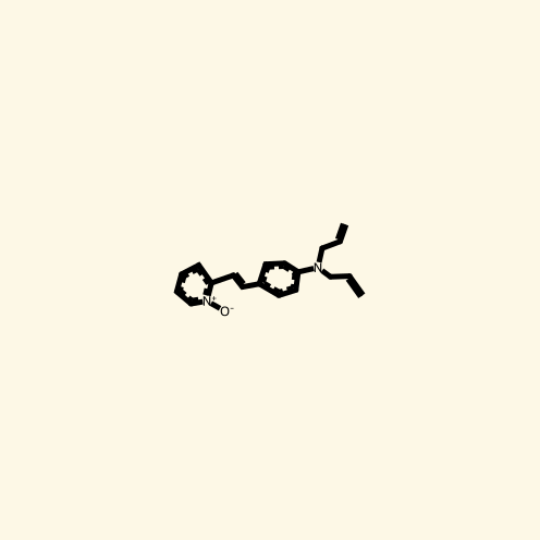 C=CCN(CC=C)c1ccc(C=Cc2cccc[n+]2[O-])cc1